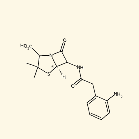 CC1(C)S[C@@H]2C(NC(=O)Cc3ccccc3N)C(=O)N2C1C(=O)O